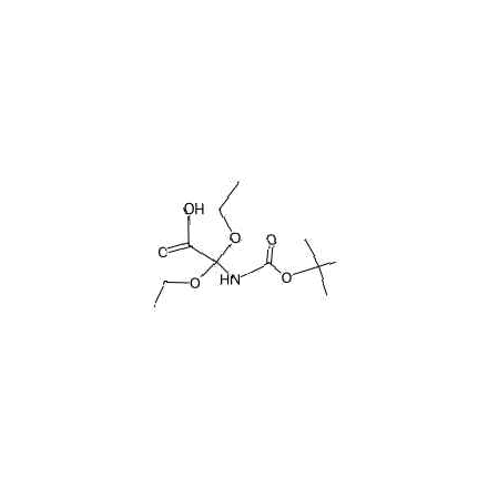 CCOC(NC(=O)OC(C)(C)C)(OCC)C(=O)O